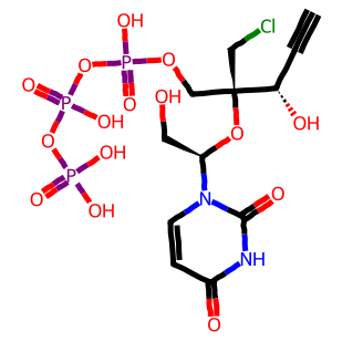 C#C[C@H](O)[C@@](CCl)(COP(=O)(O)OP(=O)(O)OP(=O)(O)O)O[C@H](CO)n1ccc(=O)[nH]c1=O